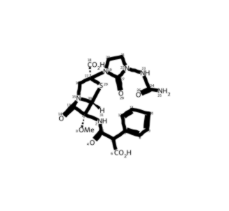 CO[C@]1(NC(=O)C(C(=O)O)c2ccccc2)C(=O)N2C[C@@](C(=O)O)(N3CCN(NC(N)=O)C3=O)S[C@@H]21